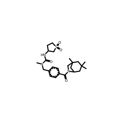 CN(Cc1ccc(C(=O)N2CC3(C)CC2CC(C)(C)C3)cc1)C(=O)NC1CCS(=O)(=O)C1